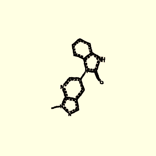 Cn1ncc2cc(-n3c(=O)[nH]c4ccccc43)cnc21